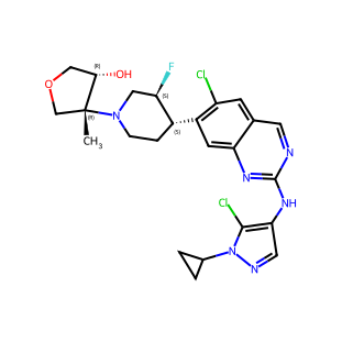 C[C@@]1(N2CC[C@@H](c3cc4nc(Nc5cnn(C6CC6)c5Cl)ncc4cc3Cl)[C@H](F)C2)COC[C@@H]1O